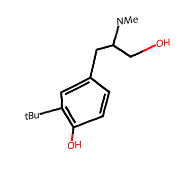 CNC(CO)Cc1ccc(O)c(C(C)(C)C)c1